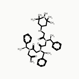 C[C@@H](c1ccccc1)N(CC(N)=O)C(=O)CN(C(=O)CN(C(=O)CNC1CC(C)(C)N(O)C(C)(C)C1)[C@@H](C)c1ccccc1)[C@@H](C)c1ccccc1